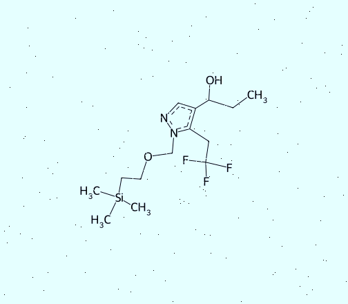 CCC(O)c1cnn(COCC[Si](C)(C)C)c1CC(F)(F)F